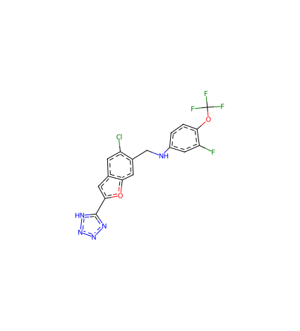 Fc1cc(NCc2cc3oc(-c4nnn[nH]4)cc3cc2Cl)ccc1OC(F)(F)F